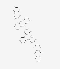 C=C(/C=C\c1ccc2cccnc2c1C)c1ccc2c3ccc(-c4c5ccccc5c(-c5ccc6ccccc6c5)c5ccccc45)cc3c3ccccc3c2c1